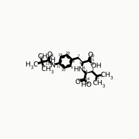 CC(C)C[C@H](N[C@@H](Cc1ccc(NC(=O)C(C)(C)C)cc1)C(=O)O)C(=O)O